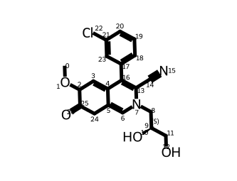 COC1C=C2C(=CN(C[C@H](O)CO)C(C#N)=C2c2cccc(Cl)c2)CC1=O